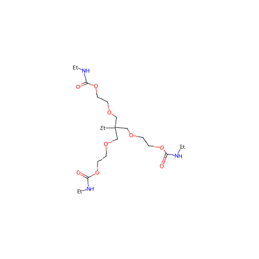 CCNC(=O)OCCOCC(CC)(COCCOC(=O)NCC)COCCOC(=O)NCC